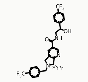 CC(C)[C@H]1c2ncc(C(=O)NCC(O)c3ccc(C(F)(F)F)cc3)cc2CN1Cc1ccc(C(F)(F)F)cc1